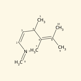 C=N/C=C\C(C)C(C)=C(C)C